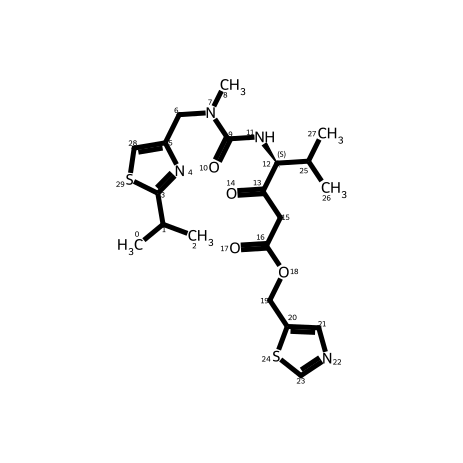 CC(C)c1nc(CN(C)C(=O)N[C@H](C(=O)CC(=O)OCc2cncs2)C(C)C)cs1